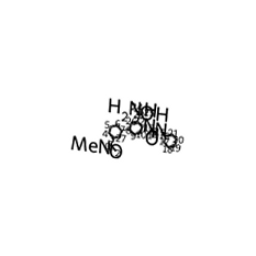 CNC(=O)c1cccc(-c2ccc(NC(=O)Nc3ccccc3)c(C(N)=O)c2)c1